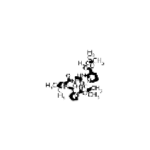 CC(C)C[C@H](NC(=O)[C@@H]1CCCN1C(=O)OC(C)(C)C)C(=O)NCC(=O)Nc1ncccc1C(=O)OC(C)(C)C